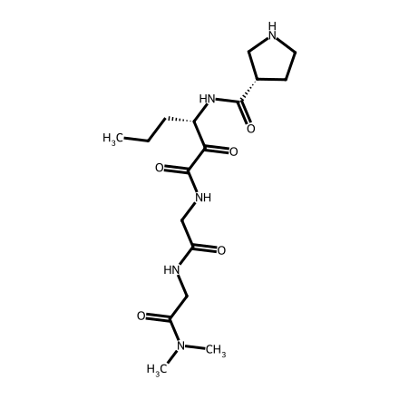 CCC[C@H](NC(=O)[C@H]1CCNC1)C(=O)C(=O)NCC(=O)NCC(=O)N(C)C